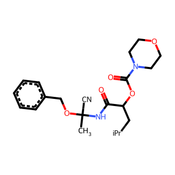 CC(C)CC(OC(=O)N1CCOCC1)C(=O)NC(C)(C#N)OCc1ccccc1